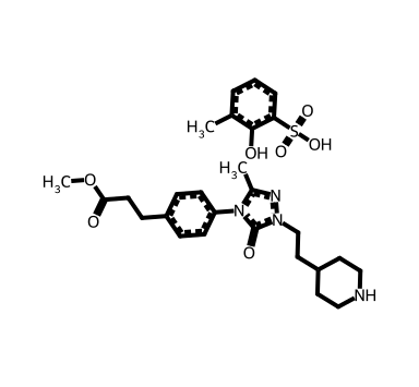 COC(=O)CCc1ccc(-n2c(C)nn(CCC3CCNCC3)c2=O)cc1.Cc1cccc(S(=O)(=O)O)c1O